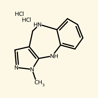 Cl.Cl.Cn1ncc2c1Nc1ccccc1NC2